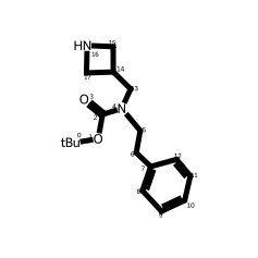 CC(C)(C)OC(=O)N(CCc1ccccc1)CC1CNC1